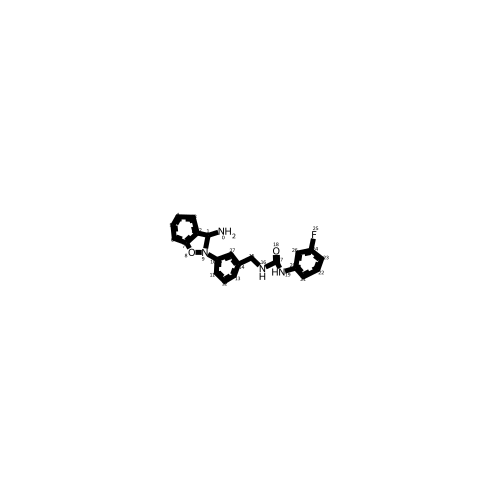 NC1c2ccccc2ON1c1cccc(CNC(=O)Nc2cccc(F)c2)c1